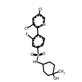 CC1(O)CCC(NS(=O)(=O)c2ccc(-c3ncc(Cl)cc3Cl)c(F)c2)CC1